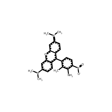 Cc1c(-c2c3ccc(=[N+](C)C)cc-3oc3cc(N(C)C)ccc23)ccc([N+](=O)[O-])c1N